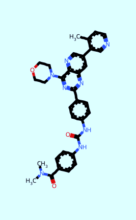 Cc1ccncc1-c1cnc2c(N3CCOCC3)nc(-c3ccc(NC(=O)Nc4ccc(C(=O)N(C)C)cc4)cc3)nc2c1